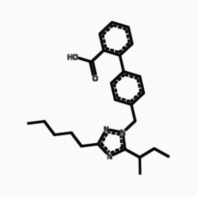 CCCCCc1nc(C(C)CC)n(Cc2ccc(-c3ccccc3C(=O)O)cc2)n1